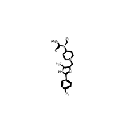 CNC(=O)N(CC(C)C)C1CCN(Cc2nc(-c3ccc(C(F)(F)F)cc3)[nH]c2C)CC1